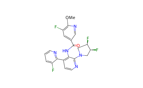 COc1ncc(C(=O)Nc2c(-c3ncccc3F)ccnc2N2C[C@@H](F)[C@@H](F)C2)cc1F